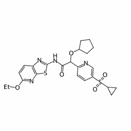 CCOc1ccc2nc(NC(=O)C(OC3CCCC3)c3ccc(S(=O)(=O)C4CC4)cn3)sc2n1